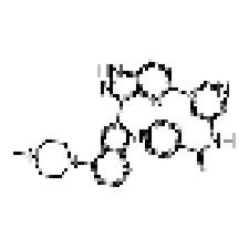 C=C(Nc1cncc(-c2ccc3[nH]nc(-c4cc5c(N6CCN(C)CC6)cccc5[nH]4)c3n2)c1)c1ccccc1